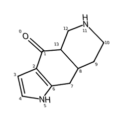 O=C1c2cc[nH]c2CC2CCNCC12